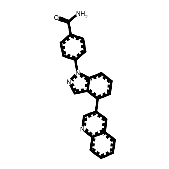 NC(=O)c1ccc(-n2ncc3c(-c4cnc5ccccc5c4)cccc32)cc1